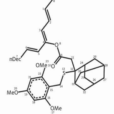 C/C=C/C=C(/C=C/CCCCCCCCCC)OC(=O)CC1(SCc2c(OC)cc(OC)cc2OC)C2CC3CC(C2)CC1C3